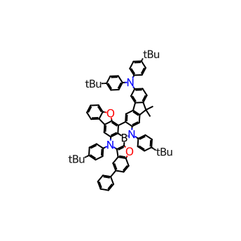 CC(C)(C)c1ccc(N2B3c4oc5ccc(-c6ccccc6)cc5c4N(c4ccc(C(C)(C)C)cc4)c4cc5c(oc6ccccc65)c(c43)-c3cc4c(cc32)C(C)(C)c2ccc(N(c3ccc(C(C)(C)C)cc3)c3ccc(C(C)(C)C)cc3)cc2-4)cc1